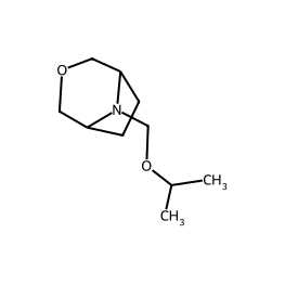 CC(C)OCN1C2CCC1COC2